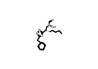 CCCCC[C@@H](CN(O)C=O)c1nnc(Cc2ccccc2)o1